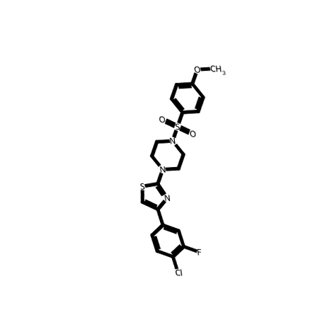 COc1ccc(S(=O)(=O)N2CCN(c3nc(-c4ccc(Cl)c(F)c4)cs3)CC2)cc1